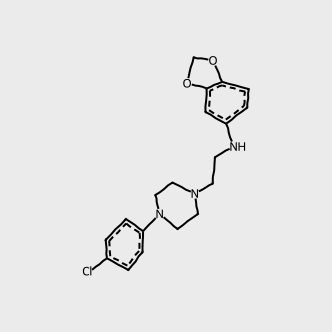 Clc1ccc(N2CCN(CCNc3ccc4c(c3)OCO4)CC2)cc1